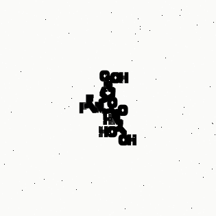 O=C(NCC(O)CO)C1CN(CC(F)F)CC2(CCN(C(=O)O)CC2)O1